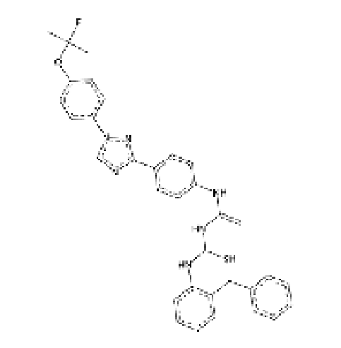 C=C(Nc1ccc(-c2ncn(-c3ccc(OC(C)(C)F)cc3)n2)cc1)NC(S)Nc1ccccc1Cc1ccccc1